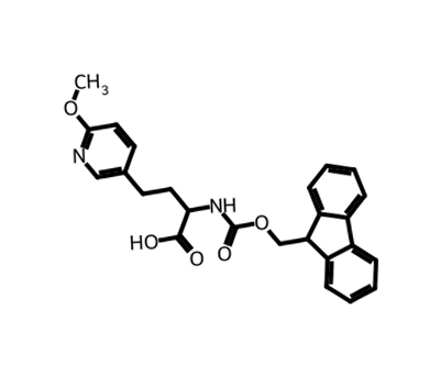 COc1ccc(CCC(NC(=O)OCC2c3ccccc3-c3ccccc32)C(=O)O)cn1